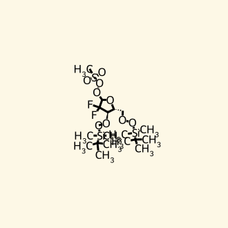 CC(C)(C)[Si](C)(C)OOC[C@H]1OC(OOS(C)(=O)=O)C(F)(F)[C@@H]1OO[Si](C)(C)C(C)(C)C